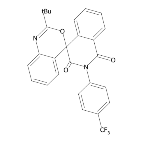 CC(C)(C)C1=Nc2ccccc2C2(O1)C(=O)N(c1ccc(C(F)(F)F)cc1)C(=O)c1ccccc12